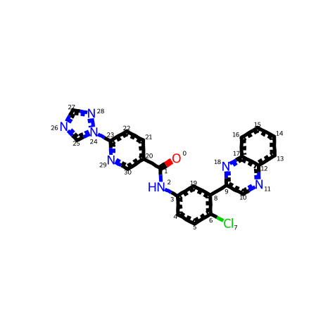 O=C(Nc1ccc(Cl)c(-c2cnc3ccccc3n2)c1)c1ccc(-n2cncn2)nc1